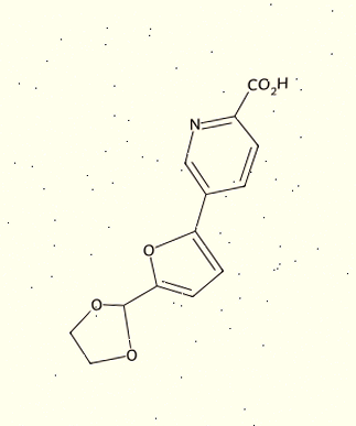 O=C(O)c1ccc(-c2ccc(C3OCCO3)o2)cn1